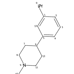 CC(C)c1cccc(C2CCN(C)CC2)c1